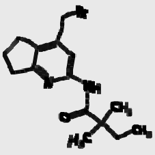 CCC(C)(C)C(=O)Nc1cc(CBr)c2c(n1)CCC2